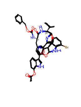 CC(=O)Oc1cccc2c(-c3cnc(-c4nc5oc4C46c7cc(ccc7OC4Nc4c(Br)cccc46)C[C@H](NC(=O)OCc4ccccc4)C(=O)N[C@H]5C(C)C)o3)c[nH]c12